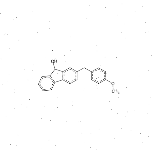 COc1ccc(Cc2ccc3c(c2)C(O)c2ccccc2-3)cc1